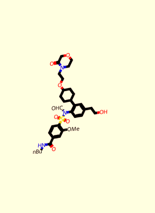 CCCCNC(=O)c1ccc(S(=O)(=O)N(C=O)c2ccc(CCO)cc2C2CCC(OCCN3CCOCC3=O)CC2)c(OC)c1